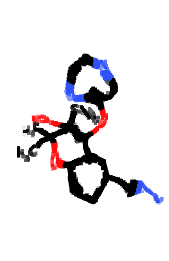 CC1(C)Oc2ccc(C#N)cc2C(Oc2cnccn2)C1(C)O